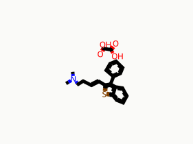 CN(C)CCC=Cc1sc2ccccc2c1-c1ccccc1.O=C(O)C(=O)O